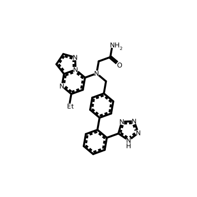 CCc1cc(N(CC(N)=O)Cc2ccc(-c3ccccc3-c3nnn[nH]3)cc2)n2nccc2n1